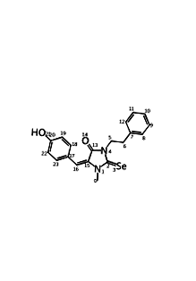 CN1C(=[Se])N(CCc2ccccc2)C(=O)C1=Cc1ccc(O)cc1